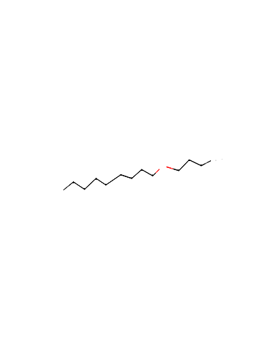 CCCCCCCCCCCCCCCCCCOCCCCCCCCCCCCC